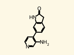 Nc1cnccc1-c1ccc2c(c1)NC(=O)C2